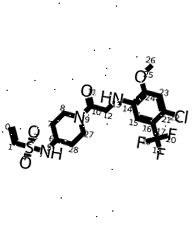 C=CS(=O)(=O)NC1CCN(C(=O)CNc2cc(C(F)(F)F)c(Cl)cc2OC)CC1